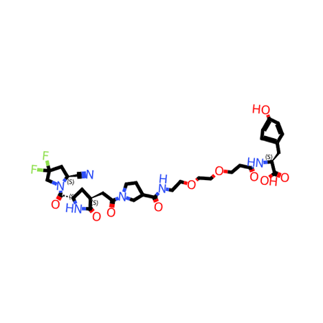 N#C[C@@H]1CC(F)(F)CN1C(=O)[C@@H]1C[C@@H](CC(=O)N2CCC(C(=O)NCCOCCOCCC(=O)N[C@@H](Cc3ccc(O)cc3)C(=O)O)C2)C(=O)N1